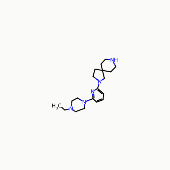 CCN1CCN(c2cccc(N3CCC4(CCNCC4)C3)n2)CC1